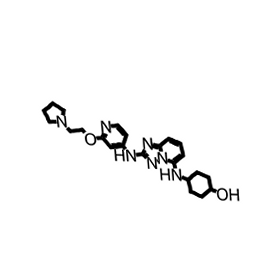 OC1CCC(Nc2cccc3nc(Nc4ccnc(OCCN5CCCC5)c4)nn23)CC1